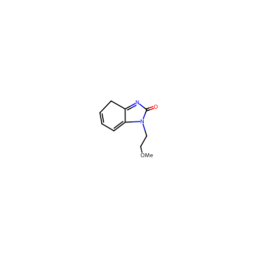 COCCN1C(=O)N=C2CC=CC=C21